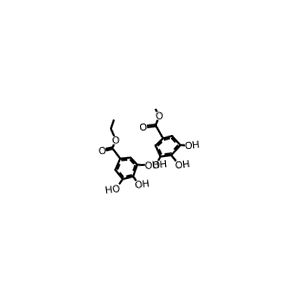 CCOC(=O)c1cc(O)c(O)c(O)c1.COC(=O)c1cc(O)c(O)c(O)c1